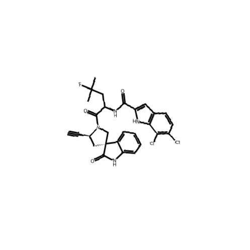 C#C[C@@H]1C[C@@]2(CN1C(=O)C(CC(C)(C)F)NC(=O)c1cc3ccc(Cl)c(Cl)c3[nH]1)C(=O)Nc1ccccc12